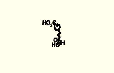 O=C(CCCC1CCN(C(=O)O)CC1)NO